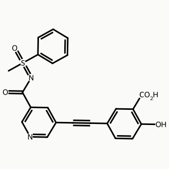 CS(=O)(=NC(=O)c1cncc(C#Cc2ccc(O)c(C(=O)O)c2)c1)c1ccccc1